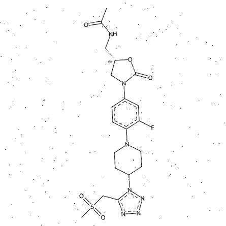 CC(=O)NC[C@H]1CN(c2ccc(N3CCC(n4nnnc4CS(C)(=O)=O)CC3)c(F)c2)C(=O)O1